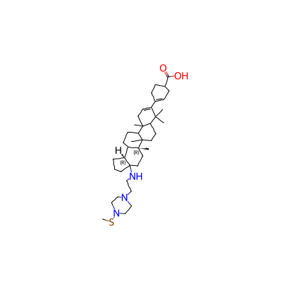 CSN1CCN(CCNC23CCC[C@@H]2C2CCC4C5(C)CC=C(C6=CCC(C(=O)O)CC6)C(C)(C)C5CCC4(C)[C@]2(C)CC3)CC1